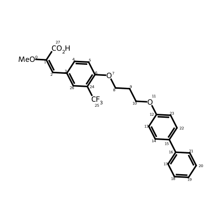 COC(=Cc1ccc(OCCCOc2ccc(-c3ccccc3)cc2)c(C(F)(F)F)c1)C(=O)O